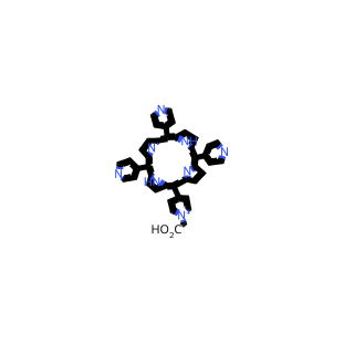 O=C(O)C[n+]1ccc(-c2c3nc(c(-c4ccncc4)c4ccc([nH]4)c(-c4ccncc4)c4nc(c(-c5ccncc5)c5ccc2[nH]5)C=C4)C=C3)cc1